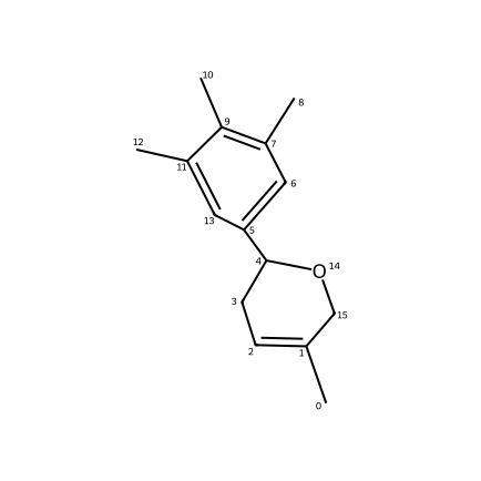 CC1=CCC(c2cc(C)c(C)c(C)c2)OC1